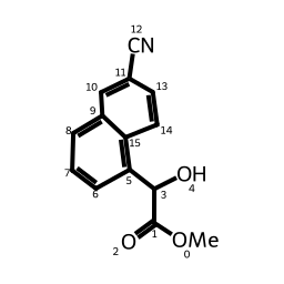 COC(=O)C(O)c1cccc2cc(C#N)ccc12